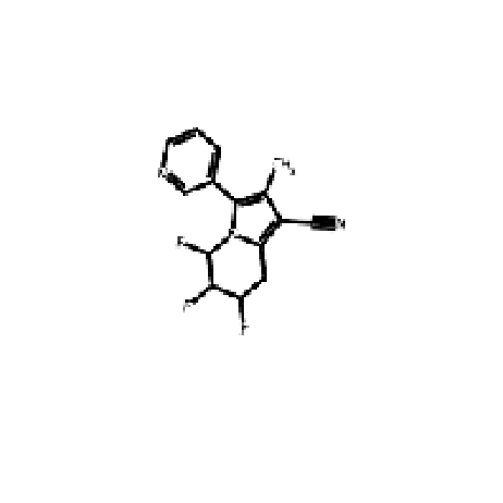 Cc1c(C#N)c2n(c1-c1cccnc1)C(F)C(F)C(F)C2